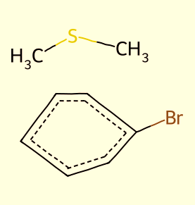 Brc1ccccc1.CSC